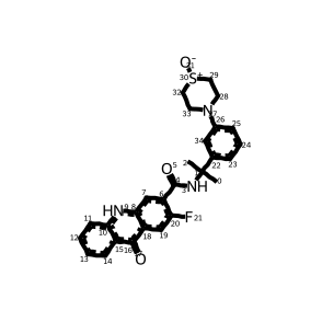 CC(C)(NC(=O)c1cc2[nH]c3ccccc3c(=O)c2cc1F)c1cccc(N2CC[S+]([O-])CC2)c1